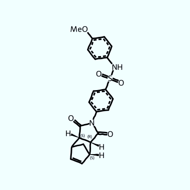 COc1ccc(NS(=O)(=O)c2ccc(N3C(=O)[C@@H]4[C@@H]5C=CC(C5)[C@@H]4C3=O)cc2)cc1